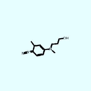 CC1C=C(N(C)CCCO)C=CC1=[N+]=[N-]